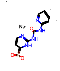 O=C(Nc1ccccn1)Nc1nccc(=S(=O)=O)[nH]1.[Na]